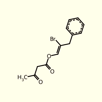 CC(=O)CC(=O)OC=C(Br)Cc1ccccc1